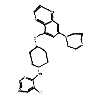 Clc1cncnc1N[C@H]1CC[C@@H](Oc2cc(N3CCOCC3)cc3nccnc23)CC1